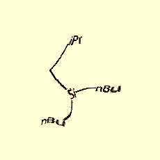 CCCC[Si](CCCC)CC(C)C